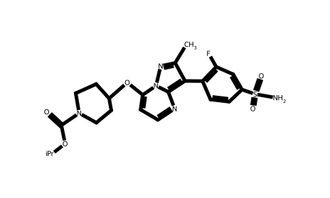 Cc1nn2c(OC3CCN(C(=O)OC(C)C)CC3)ccnc2c1-c1ccc(S(N)(=O)=O)cc1F